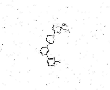 CC(C)(C)OC(=O)N1CCN(c2cccc(-c3ccnc(Cl)n3)c2)CC1